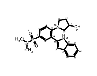 CN(C)S(=O)(=O)c1ccc(N2CCC(O)C2)c(-c2cc3ccccc3[nH]2)c1